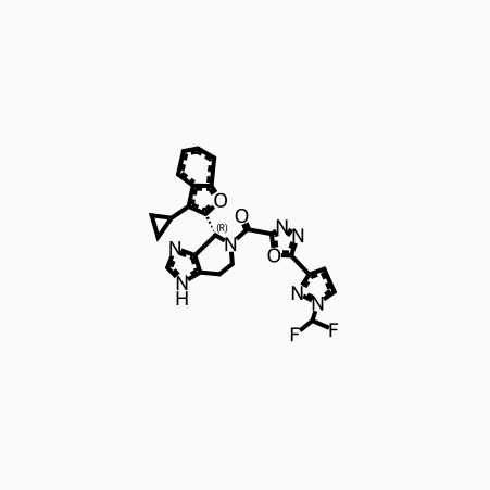 O=C(c1nnc(-c2ccn(C(F)F)n2)o1)N1CCc2[nH]cnc2[C@@H]1c1oc2ccccc2c1C1CC1